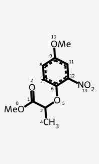 COC(=O)C(C)Oc1ccc(OC)cc1[N+](=O)[O-]